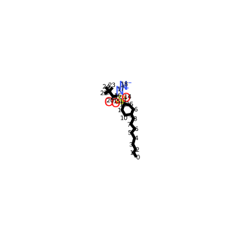 CCCCCCCCCC1CCC(S(=O)(=O)C(=[N+]=[N-])C(=O)C(C)(C)C)CC1